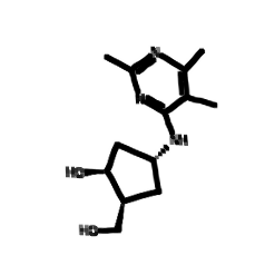 Cc1nc(C)c(C)c(N[C@@H]2C[C@@H](CO)[C@@H](O)C2)n1